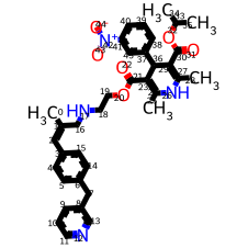 CC(=Cc1ccc(Cc2cccnc2)cc1)CNCCOC(=O)C1=C(C)NC(C)=C(C(=O)OC(C)C)C1c1cccc([N+](=O)[O-])c1